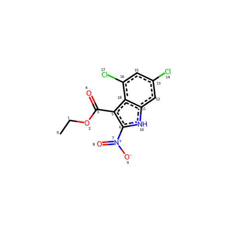 CCOC(=O)c1c([N+](=O)[O-])[nH]c2cc(Cl)cc(Cl)c12